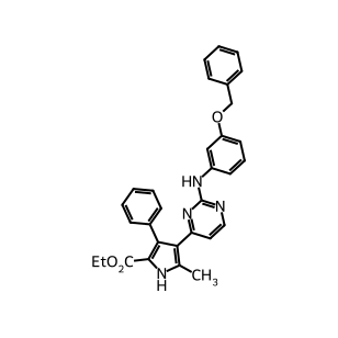 CCOC(=O)c1[nH]c(C)c(-c2ccnc(Nc3cccc(OCc4ccccc4)c3)n2)c1-c1ccccc1